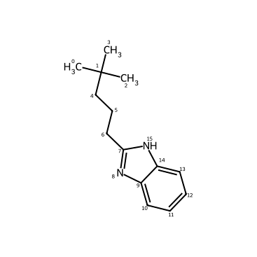 CC(C)(C)CCCc1nc2ccccc2[nH]1